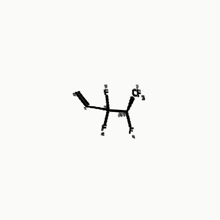 C=CC(F)(F)[C@H](F)C(F)(F)F